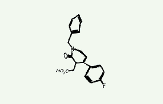 O=C(O)CC1C(=O)N(Cc2ccccc2)CC[C@H]1c1ccc(F)cc1